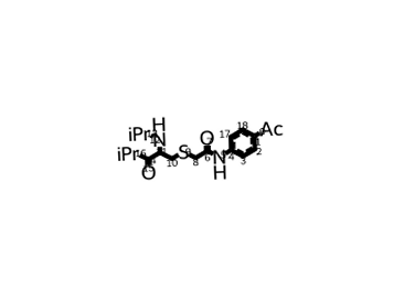 CC(=O)c1ccc(NC(=O)CSCC(NC(C)C)C(=O)C(C)C)cc1